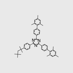 Cc1cc(C)c(-c2ccc(-c3nc(-c4ccc(-c5c(C)cc(C)cc5C)cc4)nc(-c4ccc(C(C)(C)CC(C)(C)C)cc4)n3)cc2)c(C)c1